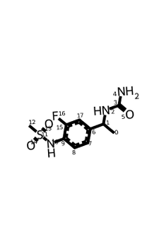 CC(NC(N)=O)c1ccc(NS(C)(=O)=O)c(F)c1